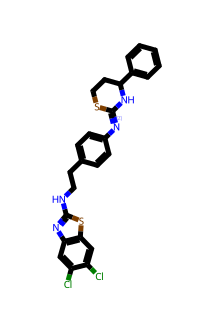 Clc1cc2nc(NCCc3ccc(/N=C4/NC(c5ccccc5)CCS4)cc3)sc2cc1Cl